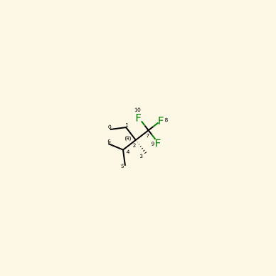 CC[C@](C)(C(C)C)C(F)(F)F